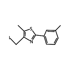 Cc1cccc(-c2nc(CI)c(C)s2)c1